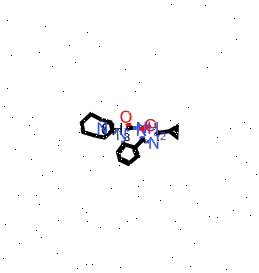 CN1C2CCCC1CC(N(C(N)=O)c1ccccc1-c1noc(C3CC3)n1)C2